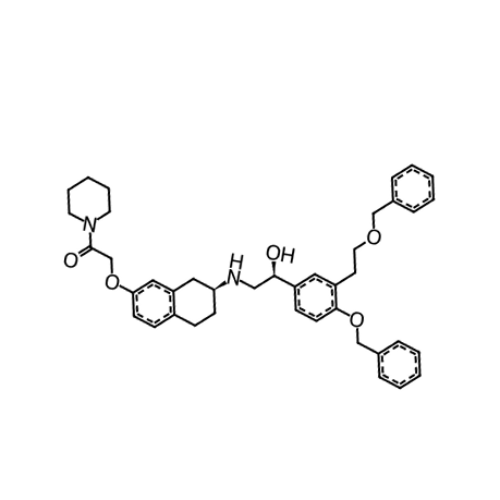 O=C(COc1ccc2c(c1)C[C@@H](NC[C@@H](O)c1ccc(OCc3ccccc3)c(CCOCc3ccccc3)c1)CC2)N1CCCCC1